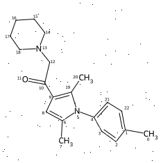 Cc1ccc(-n2c(C)cc(C(=O)CN3CCCCC3)c2C)cc1